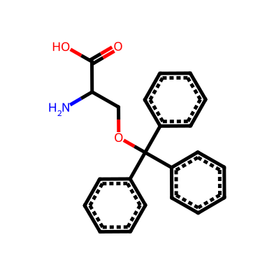 NC(COC(c1ccccc1)(c1ccccc1)c1ccccc1)C(=O)O